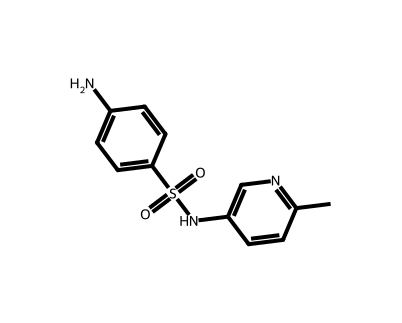 Cc1ccc(NS(=O)(=O)c2ccc(N)cc2)cn1